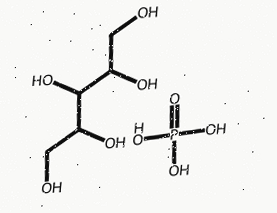 O=P(O)(O)O.OCC(O)C(O)C(O)CO